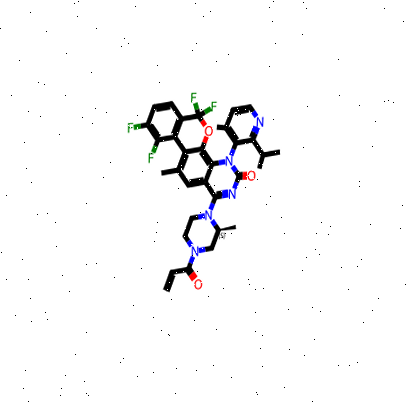 C=CC(=O)N1CCN(c2nc(=O)n(-c3c(C)ccnc3C(C)C)c3c4c(c(C)cc23)-c2c(ccc(F)c2F)C(F)(F)O4)[C@@H](C)C1